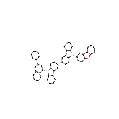 c1ccc(-c2cc(-n3c4ccccc4c4cc(-c5ccc6c(c5)c5ccccc5n6-c5ccc6oc7ccccc7c6c5)ccc43)c3ccccc3c2)cc1